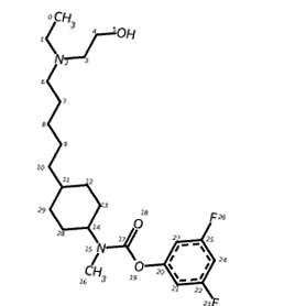 CCN(CCO)CCCCCC1CCC(N(C)C(=O)Oc2cc(F)cc(F)c2)CC1